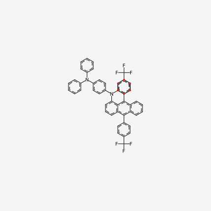 FC(F)(F)c1ccc(-c2c3ccccc3c(-c3ccc(C(F)(F)F)cc3)c3c(N(c4ccccc4)c4ccc(N(c5ccccc5)c5ccccc5)cc4)cccc23)cc1